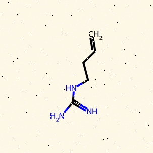 C=CCCNC(=N)N